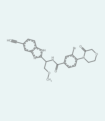 C#Cc1ccc2[nH]c(C(COC)NC(=O)c3ccc(N4CCOCC4=O)c(Br)c3)nc2c1